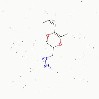 C/C=C\C1=C(C)OC(CNN)CO1